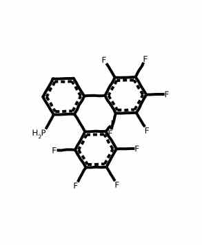 Fc1c(F)c(F)c(-c2cccc(P)c2-c2c(F)c(F)c(F)c(F)c2F)c(F)c1F